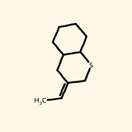 C/C=C1/CSC2CCCCC2C1